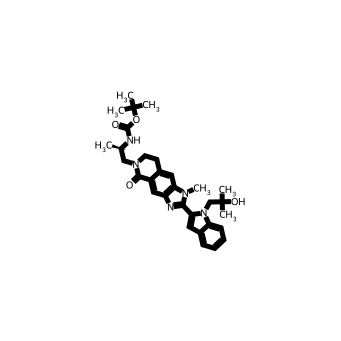 C[C@H](CN1CCc2cc3c(cc2C1=O)nc(-c1cc2ccccc2n1CC(C)(C)O)n3C)NC(=O)OC(C)(C)C